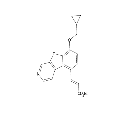 CCOC(=O)C=Cc1ccc(OCC2CC2)c2oc3cnccc3c12